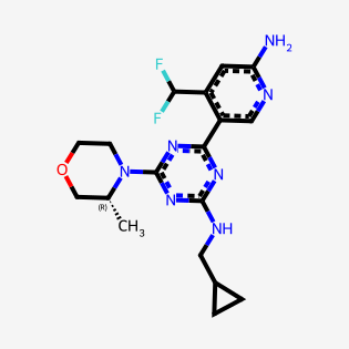 C[C@@H]1COCCN1c1nc(NCC2CC2)nc(-c2cnc(N)cc2C(F)F)n1